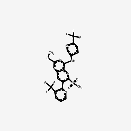 COc1nc(Nc2ccc(C(F)(F)F)nc2)c2nc(S(C)(=O)=O)c(-c3ncccc3C(F)(F)F)cc2n1